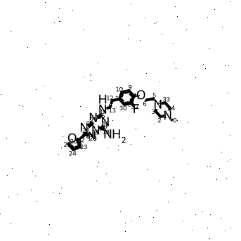 CN1CCN(CCOc2ccc(CCNc3nc(N)n4nc(-c5ccco5)nc4n3)cc2F)CC1